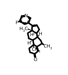 CC1C[C@@H]2[C@H](CC[C@]3(C)C(c4cncc(F)c4)=CC[C@@H]23)[C@@]2(C)CCC(=O)C=C12